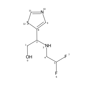 OCC(NCC(F)F)c1cncs1